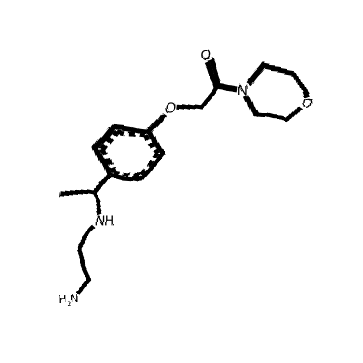 CC(NCCN)c1ccc(OCC(=O)N2CCOCC2)cc1